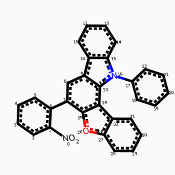 O=[N+]([O-])c1ccccc1-c1cc2c3ccccc3n(-c3ccccc3)c2c2c1oc1ccccc12